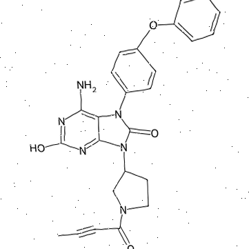 CC#CC(=O)N1CCC(n2c(=O)n(-c3ccc(Oc4ccccc4)cc3)c3c(N)nc(O)nc32)C1